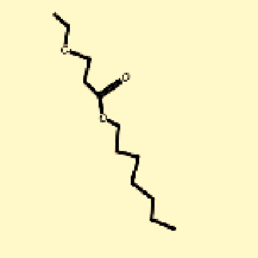 CCCCCCCOC(=O)CCOCC